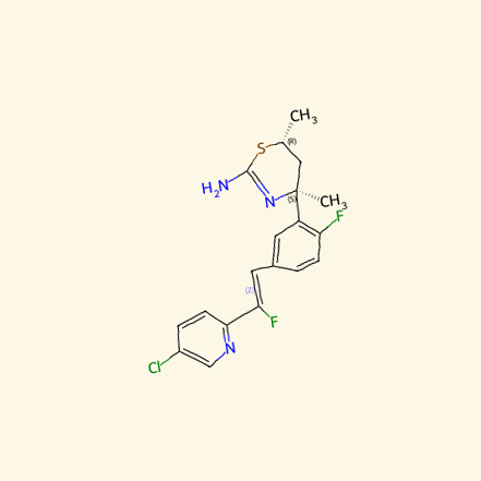 C[C@@H]1C[C@@](C)(c2cc(/C=C(\F)c3ccc(Cl)cn3)ccc2F)N=C(N)S1